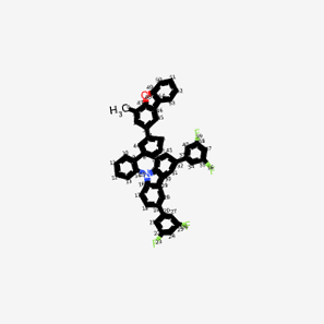 Cc1cc(-c2cccc(-c3ccccc3-n3c4ccc(-c5cc(F)cc(F)c5)cc4c4cc(-c5cc(F)cc(F)c5)ccc43)c2)cc2c1oc1ccccc12